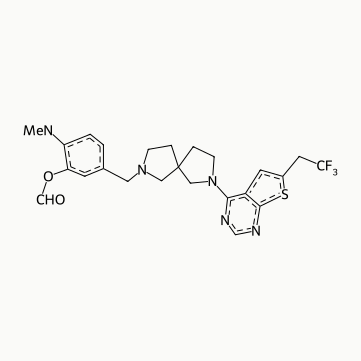 CNc1ccc(CN2CCC3(CCN(c4ncnc5sc(CC(F)(F)F)cc45)C3)C2)cc1OC=O